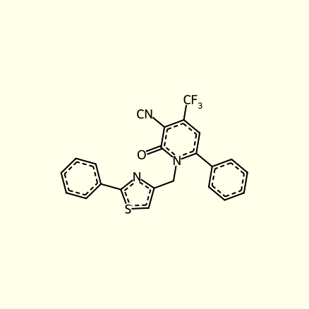 [C-]#[N+]c1c(C(F)(F)F)cc(-c2ccccc2)n(Cc2csc(-c3ccccc3)n2)c1=O